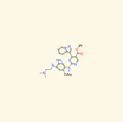 COc1cc(N(C)CCN(C)C)c(N)cc1Nc1ncc(C(=O)OC(C)C)c(-c2cnn3ccccc23)n1